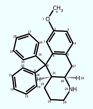 COc1ccc2c(c1)C(c1ccccc1)(c1ccccc1)[C@@H]1CCCN[C@@H]1C2